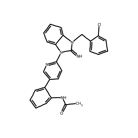 CC(=O)Nc1ccccc1-c1ccc(-n2c(=N)n(Cc3ccccc3Cl)c3ccccc32)nc1